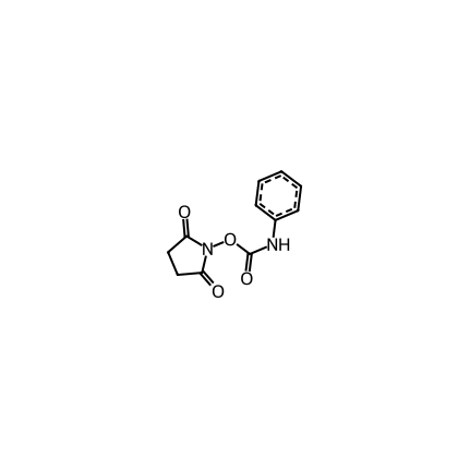 O=C(Nc1ccccc1)ON1C(=O)CCC1=O